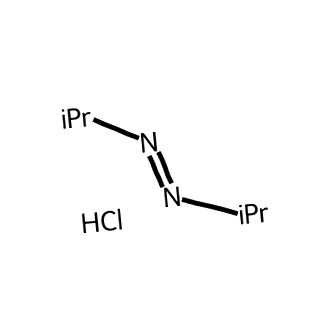 CC(C)N=NC(C)C.Cl